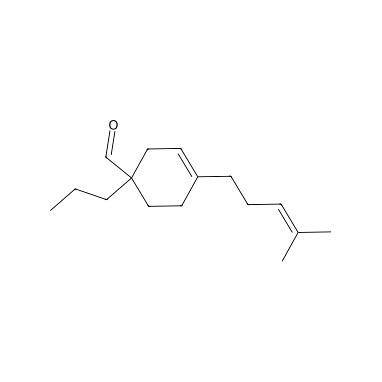 CCCC1(C=O)CC=C(CCC=C(C)C)CC1